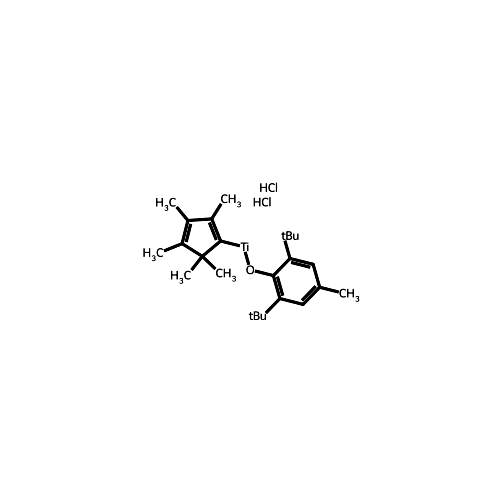 CC1=C(C)C(C)(C)[C]([Ti][O]c2c(C(C)(C)C)cc(C)cc2C(C)(C)C)=C1C.Cl.Cl